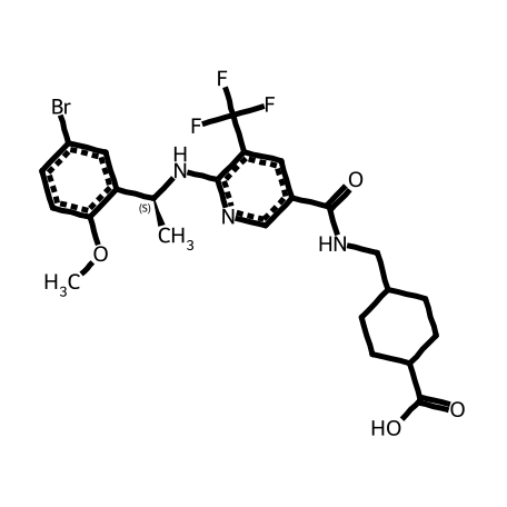 COc1ccc(Br)cc1[C@H](C)Nc1ncc(C(=O)NCC2CCC(C(=O)O)CC2)cc1C(F)(F)F